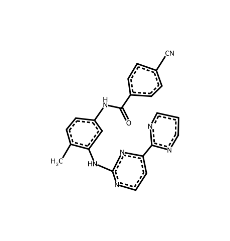 Cc1ccc(NC(=O)c2ccc(C#N)cc2)cc1Nc1nccc(-c2ncccn2)n1